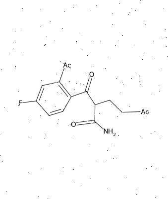 CC(=O)CCC(C(N)=O)C(=O)c1ccc(F)cc1C(C)=O